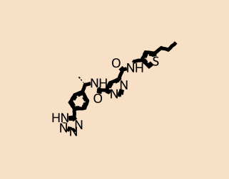 CCCc1cc(CNC(=O)c2cc(C(=O)N[C@@H](C)c3ccc(-c4nnn[nH]4)cc3)ncn2)cs1